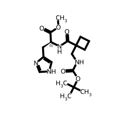 COC(=O)[C@H](Cc1c[nH]cn1)NC(=O)C1(CNC(=O)OC(C)(C)C)CCC1